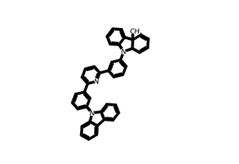 CC12C=CC=CC1N(c1cccc(-c3cccc(-c4cccc(-n5c6ccccc6c6ccccc65)c4)n3)c1)c1ccccc12